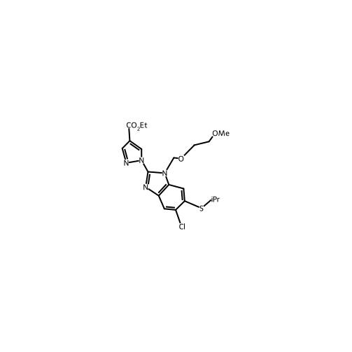 CCOC(=O)c1cnn(-c2nc3cc(Cl)c(SC(C)C)cc3n2COCCOC)c1